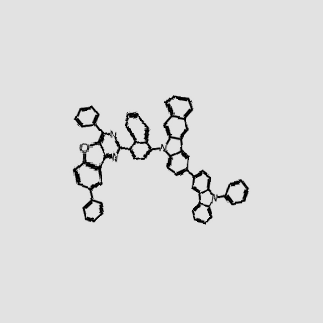 c1ccc(-c2ccc3oc4c(-c5ccccc5)nc(-c5ccc(-n6c7ccc(-c8ccc9c(c8)c8ccccc8n9-c8ccccc8)cc7c7cc8ccccc8cc76)c6ccccc56)nc4c3c2)cc1